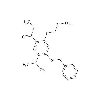 COCOc1cc(OCc2ccccc2)c(C(C)C)cc1C(=O)OC